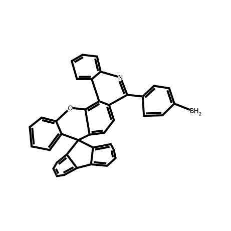 Bc1ccc(-c2nc3ccccc3c3c4c(ccc23)C2(c3ccccc3O4)c3ccccc3-c3ccccc32)cc1